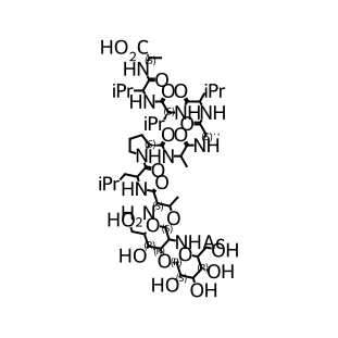 CC(=O)NC1[C@@H](OC(C)[C@H](N)C(=O)NC(CC(C)C)C(=O)N2CCC[C@H]2C(=O)NC(C)C(=O)N[C@@H](C)C(=O)NC(C(=O)N[C@H](C(=O)NC(C(=O)N[C@@H](C)C(=O)O)C(C)C)C(C)C)C(C)C)OC(CO)[C@H](O)[C@@H]1O[C@@H]1OC(CO)[C@H](O)C(O)[C@@H]1O